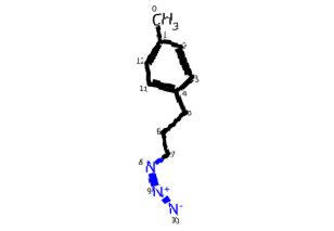 Cc1ccc(CCCN=[N+]=[N-])cc1